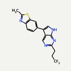 Cc1nc2ccc(-c3c[nH]c4nc(CCC(F)(F)F)ncc34)cc2s1